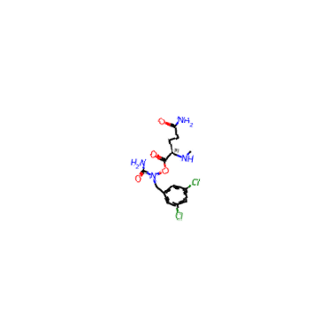 CN[C@H](CCC(N)=O)C(=O)ON(Cc1cc(Cl)cc(Cl)c1)C(N)=O